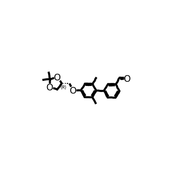 Cc1cc(OC[C@@H]2COC(C)(C)O2)cc(C)c1-c1cccc(C=O)c1